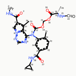 CCCNC(=O)c1cn2ncnc(N(C(=O)OCOC(=O)[C@H](C)NC=O)c3cc(C(=O)NC4CC4)ccc3C)c2c1C